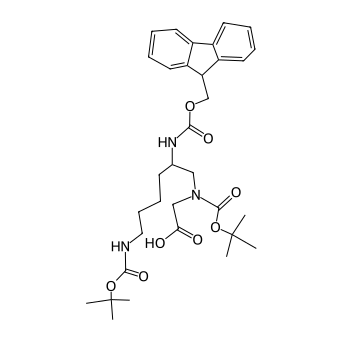 CC(C)(C)OC(=O)NCCCCC(CN(CC(=O)O)C(=O)OC(C)(C)C)NC(=O)OCC1c2ccccc2-c2ccccc21